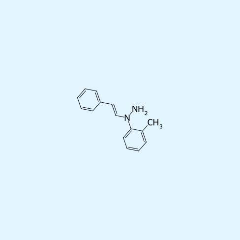 Cc1ccccc1N(N)C=Cc1ccccc1